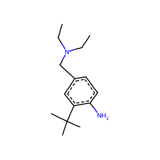 CCN(CC)Cc1ccc(N)c(C(C)(C)C)c1